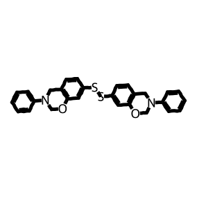 c1ccc(N2COc3cc(SSc4ccc5c(c4)OCN(c4ccccc4)C5)ccc3C2)cc1